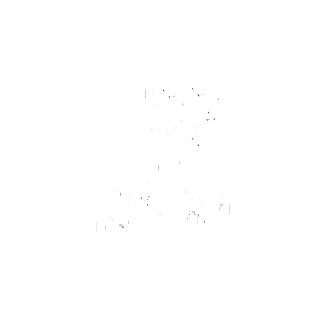 CCOc1c(C(C)n2cc(C)c3c(N)ncnc32)cc(Cl)c(C#N)c1C1CN(C(=O)OC(C)(C)C)C1